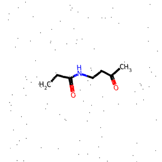 [CH2]CC(=O)NCCC(C)=O